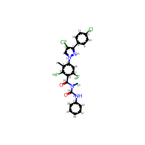 Cc1c(-n2cc(Cl)c(-c3ccc(Cl)cc3)n2)cc(F)c(C(=O)N(C)C(=O)Nc2ccccc2)c1F